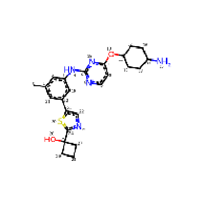 Cc1cc(Nc2nccc(OC3CCC(N)CC3)n2)cc(-c2cnc(C3(O)CCC3)s2)c1